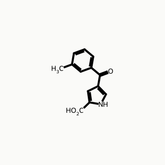 Cc1cccc(C(=O)c2c[nH]c(C(=O)O)c2)c1